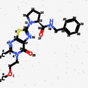 COCCn1c(C)nc2sc(N3CCC[C@@H]3C(=O)NCc3ccccc3)nc2c1=O